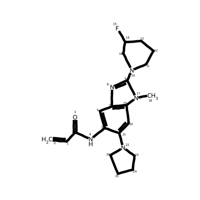 C=CC(=O)Nc1cc2nc(N3CCCC(F)C3)n(C)c2cc1N1CCCC1